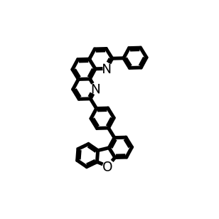 c1ccc(-c2ccc3ccc4ccc(-c5ccc(-c6cccc7oc8ccccc8c67)cc5)nc4c3n2)cc1